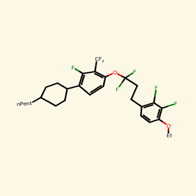 CCCCCC1CCC(c2ccc(OC(F)(F)CCc3ccc(OCC)c(F)c3F)c(C(F)(F)F)c2F)CC1